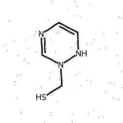 SCN1C=NC=CN1